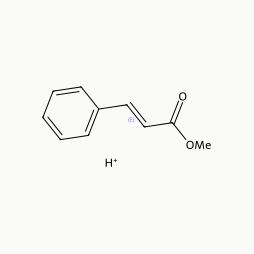 COC(=O)/C=C/c1ccccc1.[H+]